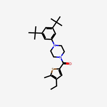 CCc1cc(C(=O)N2CCN(c3cc(C(C)(C)C)cc(C(C)(C)C)c3)CC2)sc1C